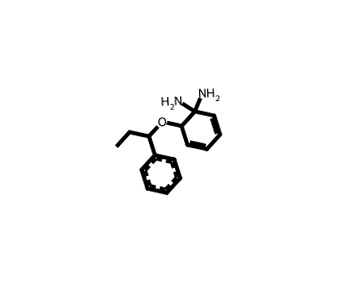 CCC(OC1C=CC=CC1(N)N)c1ccccc1